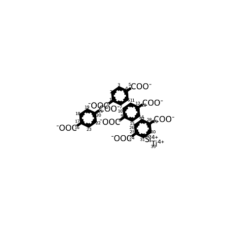 O=C([O-])c1ccc(C(=O)[O-])cc1.O=C([O-])c1ccc(C(=O)[O-])cc1.O=C([O-])c1ccc(C(=O)[O-])cc1.O=C([O-])c1ccc(C(=O)[O-])cc1.[Si+4].[Ti+4]